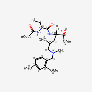 CCCCCCCCC(=O)N[C@@H](CC(C)C)C(=O)NC(C)(CC(C=O)CN(C)Cc1ccc(OC)cc1OC)C(=O)OC